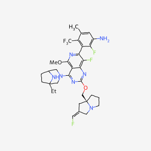 CCC12CCC(CN(c3nc(OC[C@@]45CCCN4C/C(=C\F)C5)nc4c(F)c(-c5c(F)c(N)cc(C)c5C(F)(F)F)nc(OC)c34)C1)N2